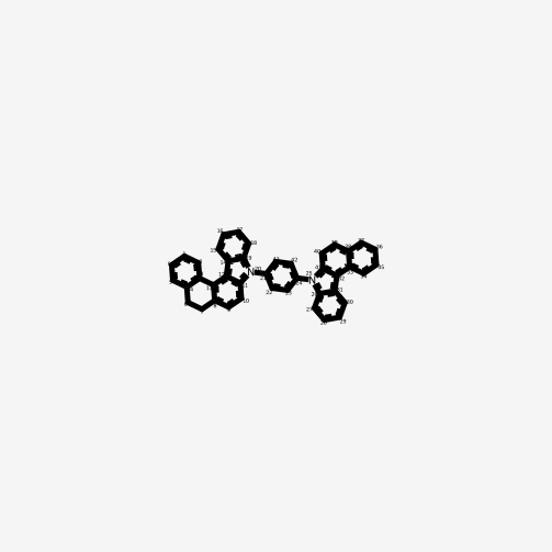 c1ccc2c(c1)CCc1ccc3c(c1-2)c1ccccc1n3-c1ccc(-n2c3ccccc3c3c4ccccc4ccc32)cc1